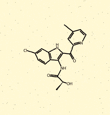 Cc1ccnc(C(=O)c2[nH]c3cc(Cl)ccc3c2NC(=O)[C@H](C)O)c1